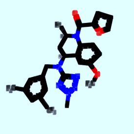 CC[C@@H]1C[C@H](N(Cc2cc(C(F)(F)F)cc(C(F)(F)F)c2)c2nnn(C)n2)c2cc(OC(F)(F)F)ccc2N1C(=O)c1ccco1